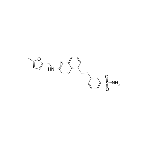 Cc1ccc(CNc2ccc3c(CCc4cccc(S(N)(=O)=O)c4)cccc3n2)o1